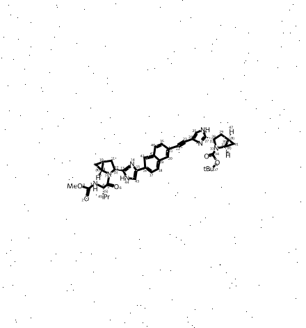 COC(=O)N[C@H](C(=O)N1[C@@H]2CC2C[C@H]1c1nc(-c2ccc3cc(C#Cc4c[nH]c([C@@H]5C[C@H]6C[C@H]6N5C(=O)OC(C)(C)C)n4)ccc3c2)c[nH]1)C(C)C